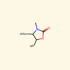 CCCCCCC1C(CCC)OC(=O)N1C